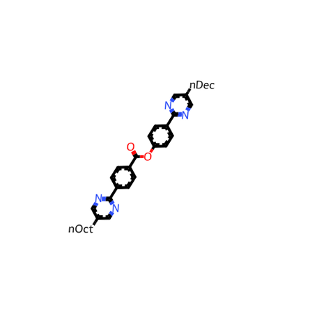 CCCCCCCCCCc1cnc(-c2ccc(OC(=O)c3ccc(-c4ncc(CCCCCCCC)cn4)cc3)cc2)nc1